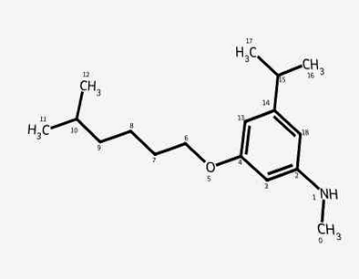 CNc1cc(OCCCCC(C)C)cc(C(C)C)c1